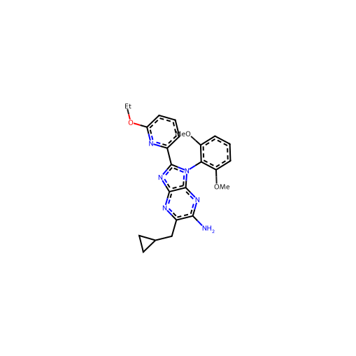 CCOc1cccc(-c2nc3nc(CC4CC4)c(N)nc3n2-c2c(OC)cccc2OC)n1